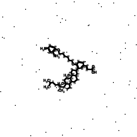 CC(C)CCC[C@@H](C)[C@H]1CCC2C3CCC4CC(c5cc(C=CC(=O)O)ccc5OCCCCCCOc5ccc(N)cc5N)CC[C@]4(C)C3CC[C@@]21C